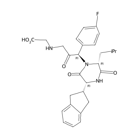 CC(C)C[C@@H]1C(=O)N[C@H](C2Cc3ccccc3C2)C(=O)N1[C@@H](C(=O)CNCC(=O)O)c1ccc(F)cc1